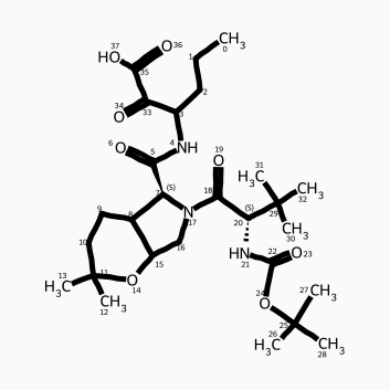 CCCC(NC(=O)[C@@H]1C2CCC(C)(C)OC2CN1C(=O)[C@@H](NC(=O)OC(C)(C)C)C(C)(C)C)C(=O)C(=O)O